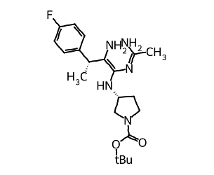 C/C(N)=N/C(N[C@@H]1CCN(C(=O)OC(C)(C)C)C1)=C(\N)[C@H](C)c1ccc(F)cc1